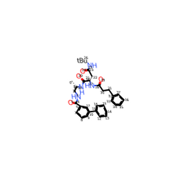 C[C@@H](CNC(=O)c1cccc(-c2ccccc2)c1)NC(=O)[C@H](CC(=O)NC(C)(C)C)NC(=O)CCc1ccccc1